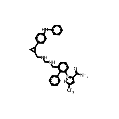 NC(=O)c1cc(C(F)(F)F)nn1-c1cccc(CNCNCC2CC2c2ccc(Nc3ccccc3)cc2)c1-c1ccccc1